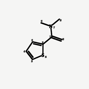 C=C(c1cccs1)N(C)C